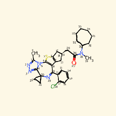 Cc1nnc2n1-c1sc3c(c1C(c1ccccc1Cl)=NC21CC1)C[C@H](CC(=O)N(C)C1CCCCCC1)C3